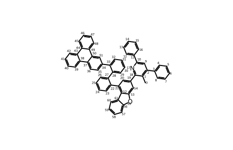 Cc1c(-c2ccccc2)cc(-c2ccccc2)nc1-c1cc(-c2ccccc2-c2ccccc2-c2ccc3c4ccccc4c4ccccc4c3c2)c2c(c1)oc1ccccc12